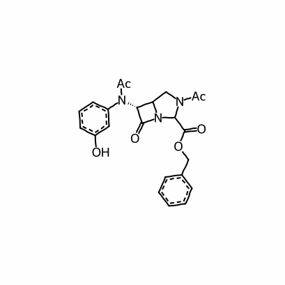 CC(=O)N1CC2[C@@H](N(C(C)=O)c3cccc(O)c3)C(=O)N2C1C(=O)OCc1ccccc1